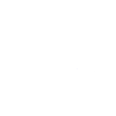 CCCCCCc1ccc(-c2ccc(C=NN=Cc3ccccc3CCCCC)cc2F)cc1